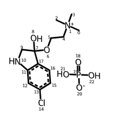 C[N+](C)(C)CCOC1(O)CNc2cc(Cl)ccc21.O=P([O-])(O)O